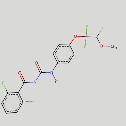 O=C(NC(=O)N(Cl)c1ccc(OC(F)(F)C(F)OC(F)(F)F)cc1)c1c(F)cccc1F